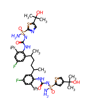 CC(C)c1cc(F)cc(C(C)CCC(C)c2cc(F)cc(C(C)C)c2NC(=O)N=S(N)(=O)c2ncc(C(C)(C)O)s2)c1NC(=O)N=S(N)(=O)c1cc(C(C)(C)O)cs1